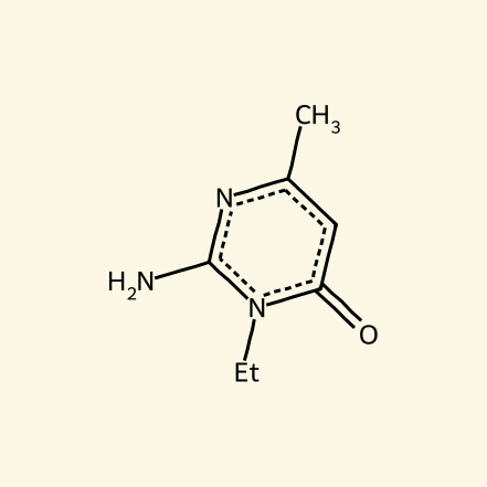 CCn1c(N)nc(C)cc1=O